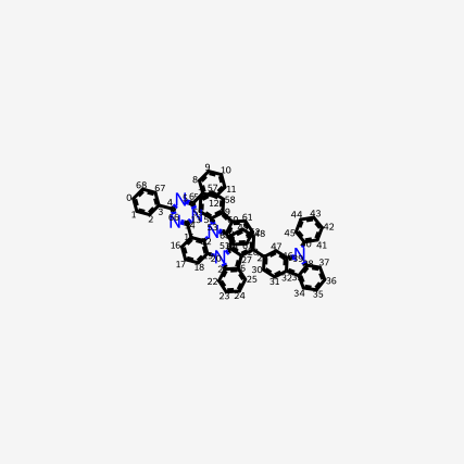 c1ccc(-c2nc(-c3ccccc3)nc(-c3cccc(-n4c5ccccc5c5c(-c6ccc7c8ccccc8n(-c8ccccc8)c7c6)cccc54)c3-n3c4ccccc4c4ccccc43)n2)cc1